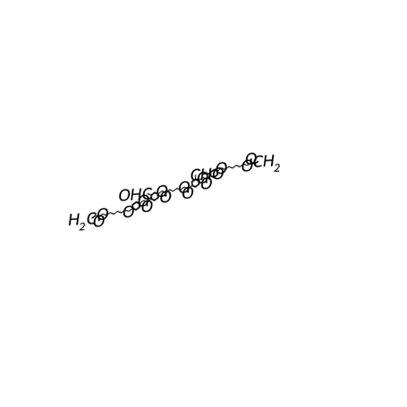 C=CC(=O)OCCCCCCOc1ccc(OC(=O)c2ccc(OC(=O)CCCCOC(=O)c3ccc(OC(=O)c4ccc(OCCCCCCOC(=O)C=C)cc4)c(C=O)c3)cc2C=O)cc1